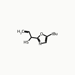 C=CC(S)c1ncc(C(C)(C)C)o1